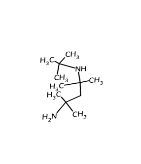 CC(C)(N)CC(C)(C)NC(C)(C)C